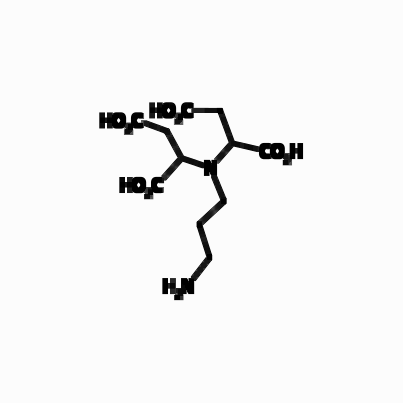 NCCCN(C(CC(=O)O)C(=O)O)C(CC(=O)O)C(=O)O